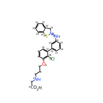 O=C(O)CNCCCOc1cccc(-c2cccc(NN3Cc4ccccc4S3)c2)c1Cl